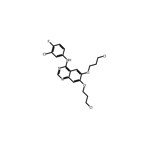 Fc1ccc(Nc2ncnc3cc(OCCCCl)c(OCCCCl)cc23)cc1Cl